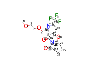 COCCOCc1nc(C(F)(F)F)ccc1C(=O)N1C(=O)C2CCC(C2)C1=O